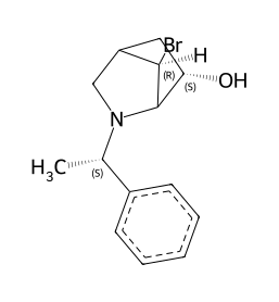 C[C@@H](c1ccccc1)N1CC2C[C@H](O)C1[C@@H]2Br